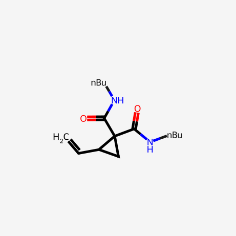 C=CC1CC1(C(=O)NCCCC)C(=O)NCCCC